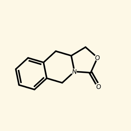 O=C1OCC2Cc3ccccc3CN12